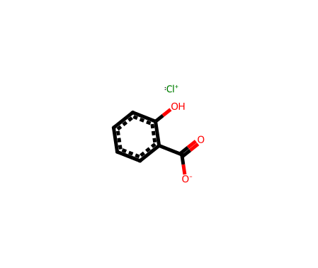 O=C([O-])c1ccccc1O.[Cl+]